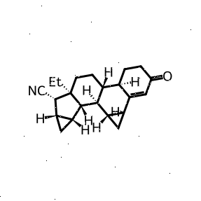 CC[C@]12CC[C@H]3[C@@H]([C@H]4C[C@H]4C4=CC(=O)CC[C@@H]43)[C@@H]1[C@@H]1C[C@@H]1[C@@H]2C#N